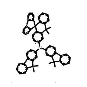 CC1(C)c2ccccc2-c2ccc(N(c3ccc4c(c3)C(C)(C)c3ccccc3-4)c3ccc4c(c3)C(C)(C)c3ccccc3C43c4ccccc4-c4ccccc43)cc21